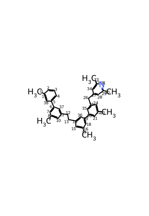 Cc1cccc(-c2cc(C)cc(CCc3cc(C)cc(-c4cc(C)cc(Cc5cc(C)nc(C)c5)c4)c3)c2)c1